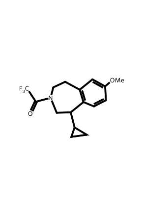 COc1ccc2c(c1)CCN(C(=O)C(F)(F)F)CC2C1CC1